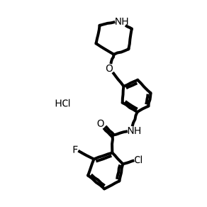 Cl.O=C(Nc1cccc(OC2CCNCC2)c1)c1c(F)cccc1Cl